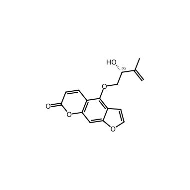 C=C(C)[C@@H](O)COc1c2ccoc2cc2oc(=O)ccc12